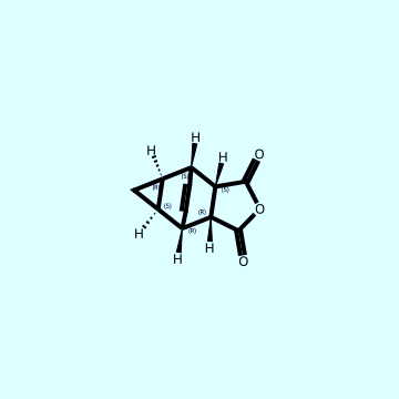 O=C1OC(=O)[C@H]2[C@@H]3C=C[C@@H]([C@H]4C[C@@H]34)[C@@H]12